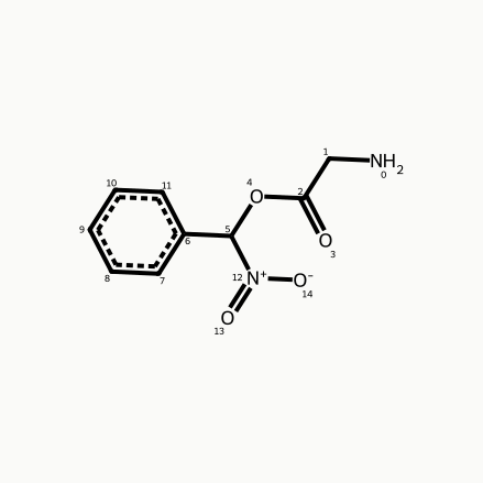 NCC(=O)OC(c1ccccc1)[N+](=O)[O-]